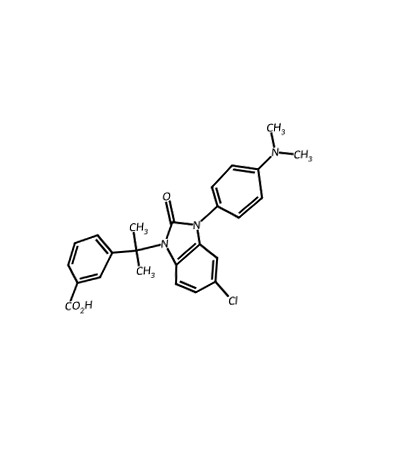 CN(C)c1ccc(-n2c(=O)n(C(C)(C)c3cccc(C(=O)O)c3)c3ccc(Cl)cc32)cc1